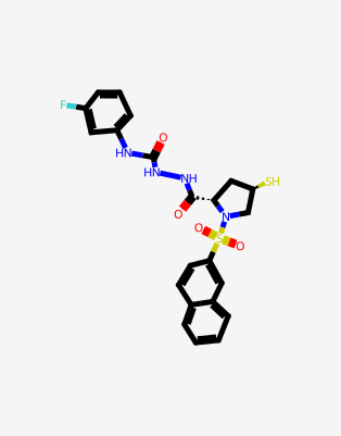 O=C(NNC(=O)[C@@H]1C[C@@H](S)CN1S(=O)(=O)c1ccc2ccccc2c1)Nc1cccc(F)c1